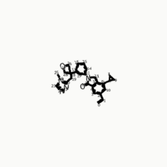 C=Cc1cc2c(c(C3CC3)c1)CN(c1cccc(C3(Cc4nncn4C)COC3)c1)C2=O